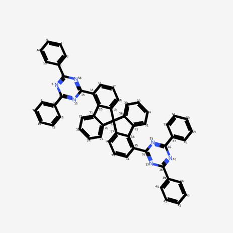 c1ccc(-c2nc(-c3ccccc3)nc(-c3cccc4c3-c3ccccc3C43c4ccccc4-c4c(-c5nc(-c6ccccc6)nc(-c6ccccc6)n5)cccc43)n2)cc1